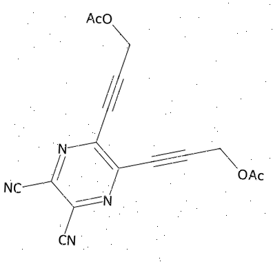 CC(=O)OCC#Cc1nc(C#N)c(C#N)nc1C#CCOC(C)=O